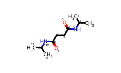 CC(C)NC(=O)CCC(=O)NC(C)C